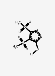 CCOc1nsc(S(C)(=O)=O)c1S(C)(=O)=O